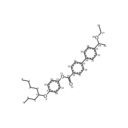 CCCCC(CCC)Oc1ccc(OC(=O)c2ccc(-c3ccc(C(C)OCC)cc3)cc2)cc1